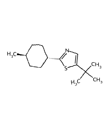 CC(C)(C)c1cnc([C@H]2CC[C@H](C)CC2)s1